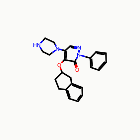 O=c1c(OC2CCc3ccccc3C2)c(N2CCNCC2)cnn1-c1ccccc1